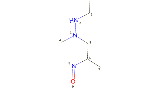 CCNN(C)CC(C)N=O